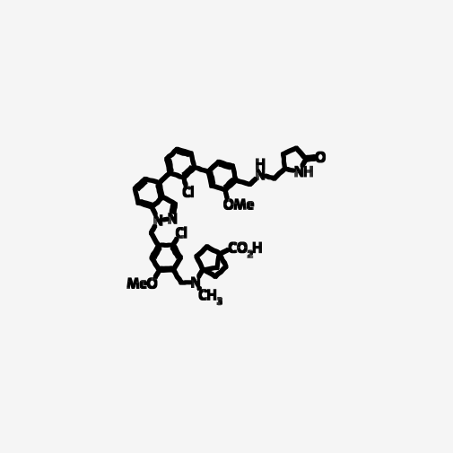 COc1cc(-c2cccc(-c3cccc4c3cnn4Cc3cc(OC)c(CN(C)C45CCC(C(=O)O)(CC4)C5)cc3Cl)c2Cl)ccc1CNCC1CCC(=O)N1